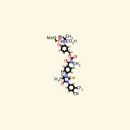 COCP(=O)(NC(C)(C(=O)O)C(C)C)Oc1ccc(COC(=O)N(C)C(=O)c2ccc(N3C(=S)N(c4ccc(C#N)c(C(F)(F)F)c4)C(=O)C3(C)C)cc2F)cc1